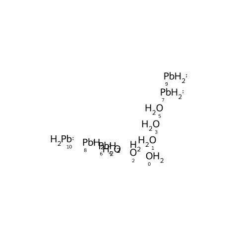 O.O.O.O.O.O.[PbH2].[PbH2].[PbH2].[PbH2].[PbH2]